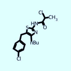 CCCCc1nc(NC(=O)C(C)Cl)sc1Cc1ccc(Cl)cc1